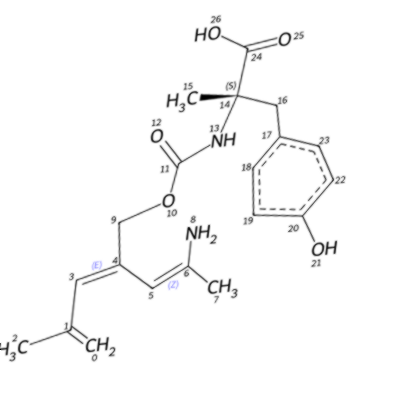 C=C(C)/C=C(\C=C(\C)N)COC(=O)N[C@@](C)(Cc1ccc(O)cc1)C(=O)O